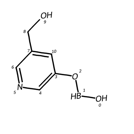 OBOc1cncc(CO)c1